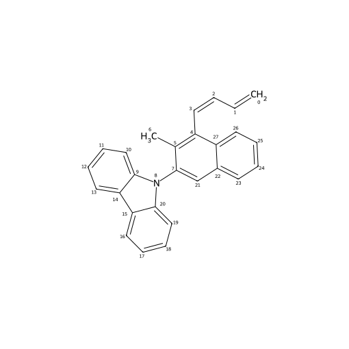 C=C/C=C\c1c(C)c(-n2c3ccccc3c3ccccc32)cc2ccccc12